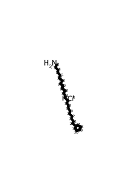 Cl.NCCCCCCCCCCCCCCCCCCCCCCCCc1ccccc1